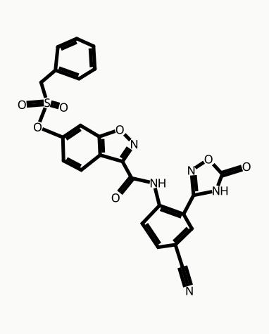 N#Cc1ccc(NC(=O)c2noc3cc(OS(=O)(=O)Cc4ccccc4)ccc23)c(-c2noc(=O)[nH]2)c1